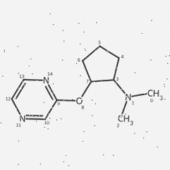 CN(C)C1CCCC1Oc1cnccn1